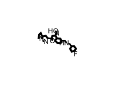 O/N=c1\cc(-c2cc3cccn3cn2)oc2ccc(CNCc3ccc(F)cc3)cc12